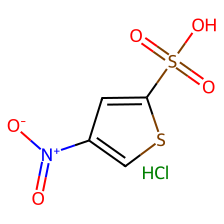 Cl.O=[N+]([O-])c1csc(S(=O)(=O)O)c1